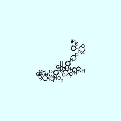 CC(C)Oc1ccccc1[C@@H]1COCCC(C)(C)N1[C@@H]1CC2(CCN(c3ccc(C(=O)NS(=O)(=O)c4cc5c(c([N+](=O)[O-])c4)N[C@@H](C4(F)CCC(C)(OP(=O)(O)O)CC4)CO5)c(N4c5cc6cc[nH]c6nc5O[C@H]5COCC[C@@H]54)c3)CC2)[C@H]1C